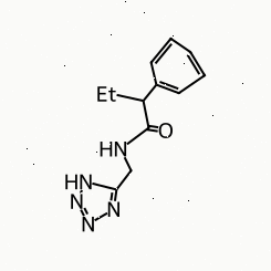 CCC(C(=O)NCc1nnn[nH]1)c1ccccc1